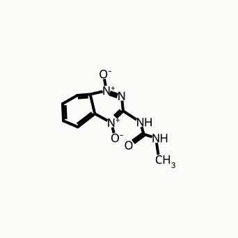 CNC(=O)Nc1n[n+]([O-])c2ccccc2[n+]1[O-]